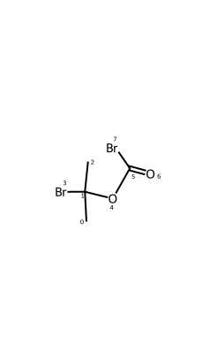 CC(C)(Br)OC(=O)Br